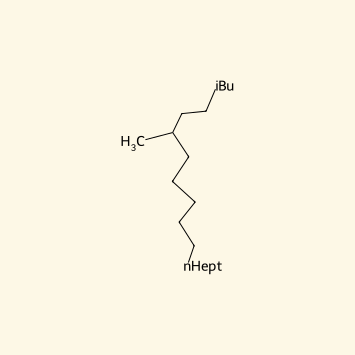 [CH2]CC(C)CCC(C)CCCCCCCCCCCC